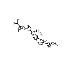 Cn1cc(C(=O)Nc2cc3c(cn2)cc(-c2ccnc(NCC(F)C(F)F)n2)n3C)cn1